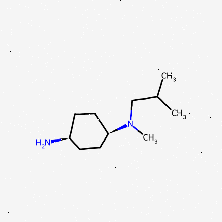 CC(C)CN(C)[C@H]1CC[C@@H](N)CC1